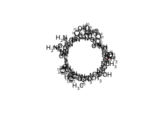 CCCC[C@H]1C(=O)N(C)CC(=O)N[C@@H](CC(=O)O)C(=O)N[C@@H](C(C)C)C(=O)N(C)[C@@H](Cc2ccccc2)C(=O)N[C@H]2Cc3ccc(O)cc3N(CC(=O)N[C@@H](Cc3c[nH]c4ccccc34)C(=O)NC(Cc3ccc(O)cc3)C(=O)N[C@@H](CCCN)C(=O)N[C@H](C(=O)NCC(N)=O)CSCC(=O)N[C@@H](Cc3ccccc3)C(=O)N(C)[C@@H](Cc3ccccc3)C(=O)N1C)C2=O